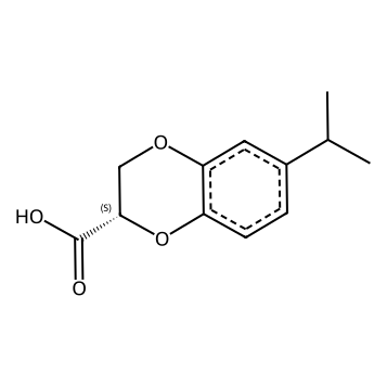 CC(C)c1ccc2c(c1)OC[C@@H](C(=O)O)O2